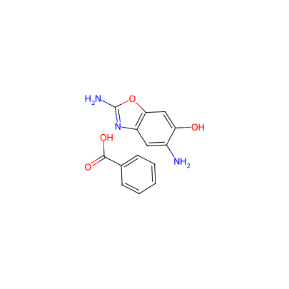 Nc1nc2cc(N)c(O)cc2o1.O=C(O)c1ccccc1